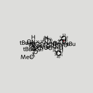 COCCOC(=O)C1(NC(=O)OC(C)(C)C)CCN(C(=O)[C@@H](CCCCNC(=O)OC(C)(C)C)NC(=O)[C@@H](CC(C)C)NC(=O)[C@@H](Cc2ccccc2)NC(=O)[C@@H](Cc2ccccc2)NC(=O)OC(C)(C)C)C1